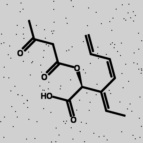 C=C/C=C\C(=C/C)[C@H](OC(=O)CC(C)=O)C(=O)O